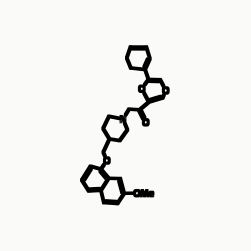 COc1ccc2cccc(OCC3CCN(CC(=O)C4=COC=C(C5=CC=CCC5)O4)CC3)c2c1